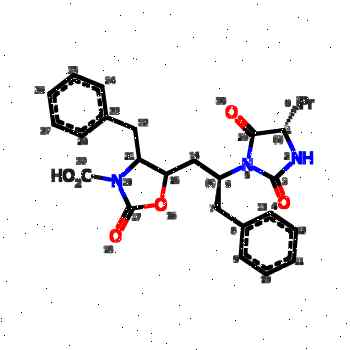 CC(C)[C@@H]1NC(=O)N([C@@H](Cc2ccccc2)CC2OC(=O)N(C(=O)O)C2Cc2ccccc2)C1=O